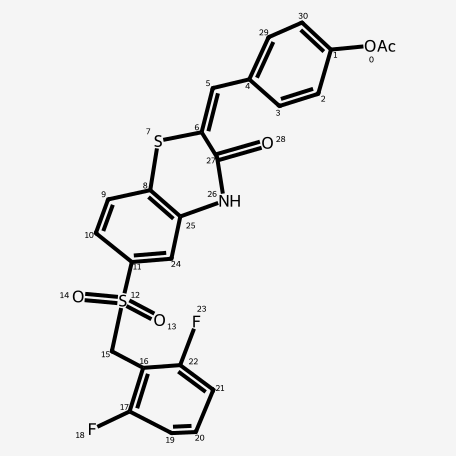 CC(=O)Oc1ccc(C=C2Sc3ccc(S(=O)(=O)Cc4c(F)cccc4F)cc3NC2=O)cc1